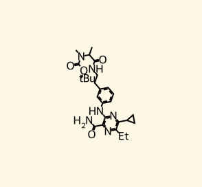 CCc1nc(C(N)=O)c(Nc2cccc(CCNC(=O)C(C)N(C)C(=O)OC(C)(C)C)c2)nc1C1CC1